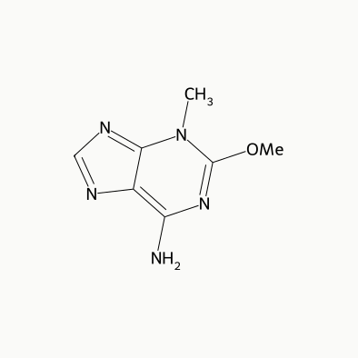 COc1nc(N)c2ncnc-2n1C